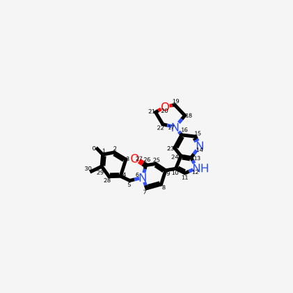 Cc1ccc(Cn2ccc(-c3c[nH]c4ncc(N5CCOCC5)cc34)cc2=O)cc1C